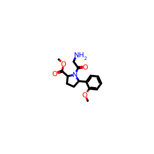 COC(=O)C1CCC(c2ccccc2OC)N1C(=O)CN